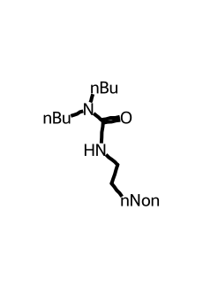 CCCCCCCCCCCNC(=O)N(CCCC)CCCC